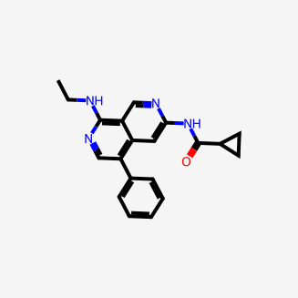 CCNc1ncc(-c2ccccc2)c2cc(NC(=O)C3CC3)ncc12